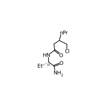 CCCC(CCl)CC(=O)N[C@@H](CC)C(N)=O